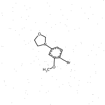 COc1cc(N2CCOC2)ccc1Br